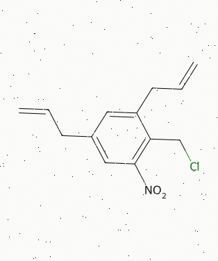 C=CCc1cc(CC=C)c(CCl)c([N+](=O)[O-])c1